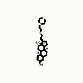 C[C@]12CC[C@@H]3c4ccc(O)cc4CC[C@H]3[C@@H]1CC/C2=C\COCCN1CCOCC1